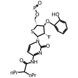 CCCC(CCC)C(=O)Nc1ccn([C@@H]2S[C@H](COP=O)[C@@H](Oc3ccccc3O)[C@@H]2F)c(=O)n1